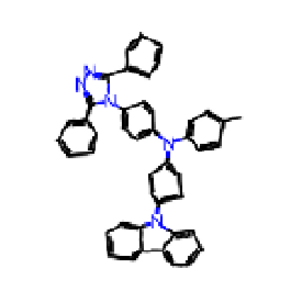 Cc1ccc(N(c2ccc(-n3c(-c4ccccc4)nnc3-c3ccccc3)cc2)c2ccc(-n3c4ccccc4c4ccccc43)cc2)cc1